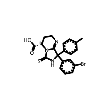 Cc1ccc(C2(c3cccc(Br)c3)NC(=S)N3C2=NCC[C@H]3C(=O)O)cc1